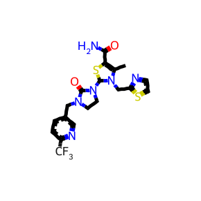 CC1=C(C(N)=O)SC(N2CCN(Cc3ccc(C(F)(F)F)nc3)C2=O)N1Cc1nccs1